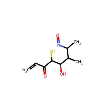 C=CC(=O)C(S)[C@H](O)C(C)C(C)N=O